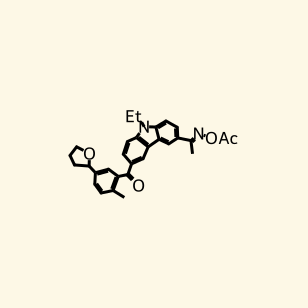 CCn1c2ccc(C(=O)c3cc(C4CCCO4)ccc3C)cc2c2cc(C(C)=NOC(C)=O)ccc21